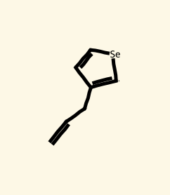 C=CCc1[c][se]cc1